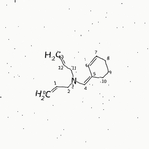 C=CCN(C=C1C=CCCC1)CC=C